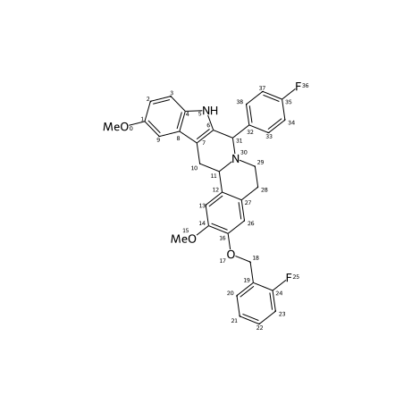 COc1ccc2[nH]c3c(c2c1)CC1c2cc(OC)c(OCc4ccccc4F)cc2CCN1C3c1ccc(F)cc1